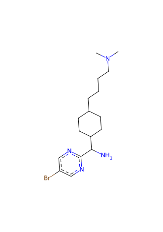 CN(C)CCCCC1CCC(C(N)c2ncc(Br)cn2)CC1